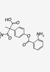 CN(C)C(=O)C(C)(C(=O)O)c1ccc(OC(=O)c2ccccc2N)cc1